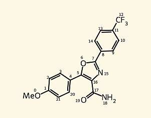 COc1ccc(-c2oc(-c3ccc(C(F)(F)F)cc3)nc2C(N)=O)cc1